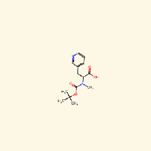 CN(C(=O)OC(C)(C)C)C(Cc1cccnc1)C(=O)O